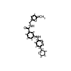 Cc1ccc(CNC(=O)c2cccc(Nc3ccc(C4CCCO4)nn3)c2)o1